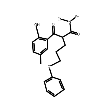 CCN(CC)C(=O)C(CCCOc1ccccc1)C(=O)c1cc(C)ccc1O